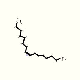 [CH2]CCCCCC/C=C\CCCCCCC